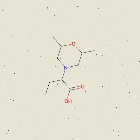 CCC(C(=O)O)N1CC(C)OC(C)C1